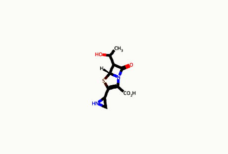 CC(O)C1C(=O)N2C(C(=O)O)=C(C3CN3)S[C@H]12